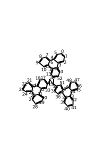 c1ccc2c(c1)c1ccccc1c1cc(N(c3ccc4c5ccccc5c5ccccc5c4c3)c3ccc4c5ccccc5c5ccccc5c4c3)ccc21